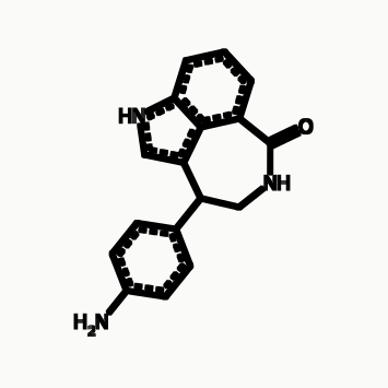 Nc1ccc(C2CNC(=O)c3cccc4[nH]cc2c34)cc1